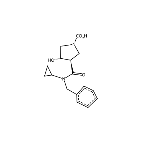 O=C(O)N1C[C@@H](O)[C@H](C(=O)N(Cc2ccccc2)C2CC2)C1